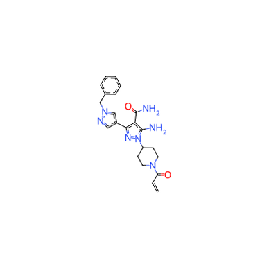 C=CC(=O)N1CCC(n2nc(-c3cnn(Cc4ccccc4)c3)c(C(N)=O)c2N)CC1